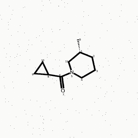 C[C@@H]1CCCN(C(=O)C2CC2)C1